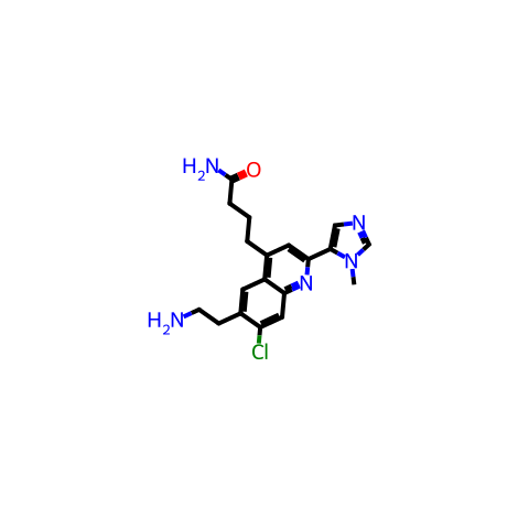 Cn1cncc1-c1cc(CCCC(N)=O)c2cc(CCN)c(Cl)cc2n1